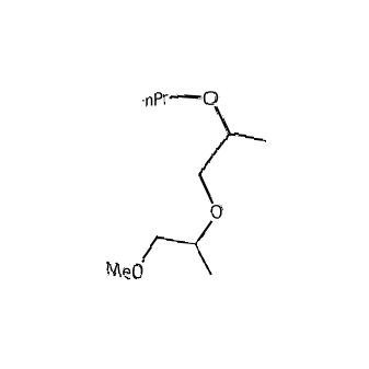 C[CH][CH]OC(C)COC(C)COC